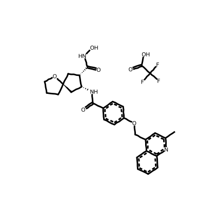 Cc1cc(COc2ccc(C(=O)N[C@@H]3C[C@]4(CCCO4)C[C@@H]3C(=O)NO)cc2)c2ccccc2n1.O=C(O)C(F)(F)F